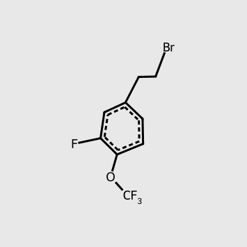 Fc1cc(CCBr)ccc1OC(F)(F)F